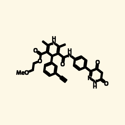 C#Cc1cccc(C2C(C(=O)Nc3ccc(C4=NNC(=O)CC4=O)cc3)=C(C)NC(C)=C2C(=O)OCCOC)c1